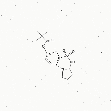 CC(C)(C)C(=O)Oc1ccc2c(c1)S(=O)(=O)NC1CCCN21